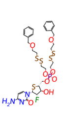 Nc1ccn([C@@H]2S[C@H](COP(=O)(OCCSSCCOCc3ccccc3)OCCSSCCOCc3ccccc3)[C@@H](O)[C@@H]2F)c(=O)n1